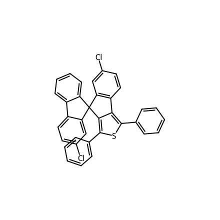 Clc1ccc2c(c1)C1(c3ccccc3-2)c2cc(Cl)ccc2-c2c(-c3ccccc3)sc(-c3ccccc3)c21